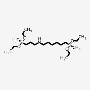 CCO[Si](C)(CCCCCCNCCC[Si](C)(OCC)OCC)OCC